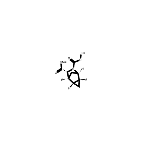 COC(=O)[C@H]1[C@H]2C[C@H]([C@@H]3C[C@@H]32)N1C(=O)OC(C)(C)C